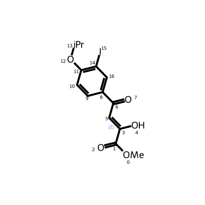 COC(=O)/C(O)=C/C(=O)c1ccc(OC(C)C)c(I)c1